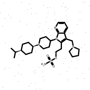 CC(C)[C@H]1CC[C@@H](N2CCC(n3c(CCOS(N)(=O)=O)c(CN4CCCC4)c4cccnc43)CC2)CC1